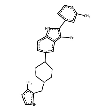 Cc1cc(-c2[nH]c3ccc(C4CCN(Cc5[nH]cnc5C)CC4)cc3c2C(C)C)ccn1